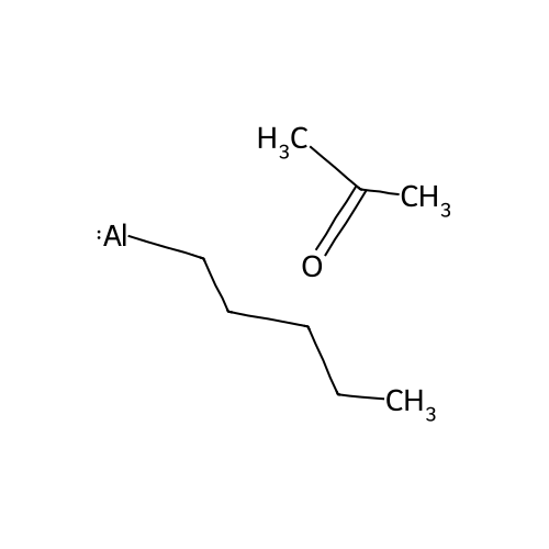 CC(C)=O.CCCC[CH2][Al]